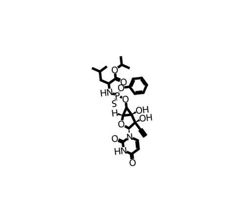 C#C[C@]1(O)[C@H](n2ccc(=O)[nH]c2=O)O[C@@H]2C(OP(=S)(NC(CC(C)C)C(=O)OC(C)C)Oc3ccccc3)[C@@]21O